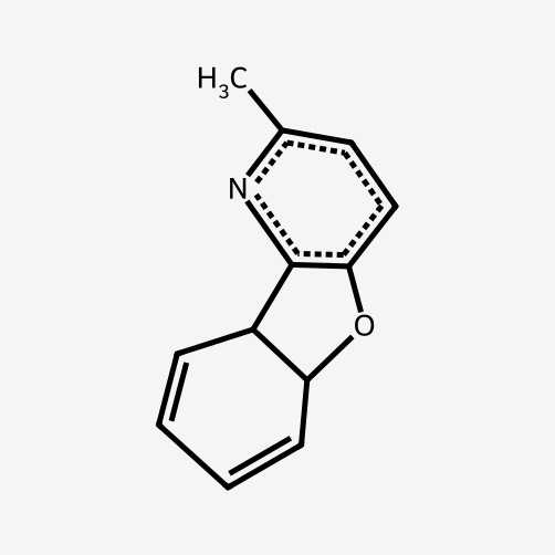 Cc1ccc2c(n1)C1C=CC=CC1O2